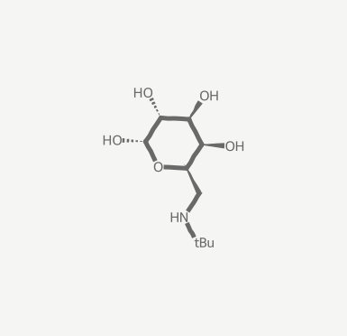 CC(C)(C)NC[C@H]1O[C@H](O)[C@H](O)[C@@H](O)[C@H]1O